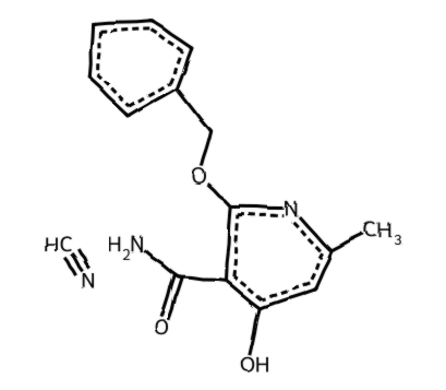 C#N.Cc1cc(O)c(C(N)=O)c(OCc2ccccc2)n1